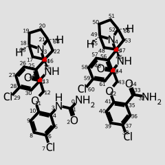 NC(=O)Nc1cc(Cl)ccc1OCC(=O)N[C@H]1C[C@H]2CC[C@@H](C1)N2Cc1ccc(Cl)cc1.NC(=O)c1cc(Cl)ccc1OCC(=O)N[C@H]1C[C@H]2CC[C@@H](C1)N2Cc1ccc(Cl)cc1